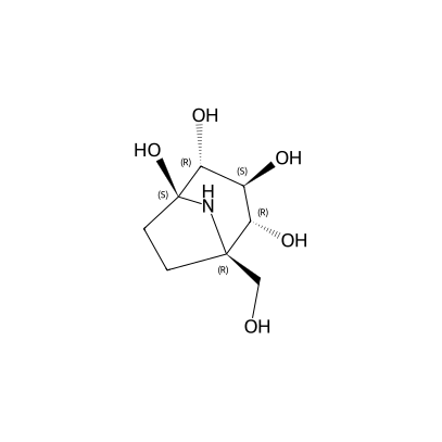 OC[C@@]12CC[C@@](O)(N1)[C@H](O)[C@@H](O)[C@@H]2O